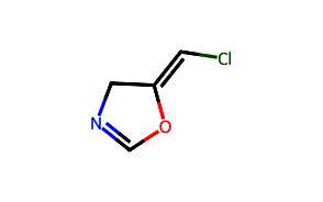 ClC=C1CN=CO1